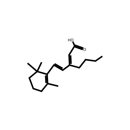 CCCCC(C=CC1=C(C)CCCC1(C)C)=CC(=O)O